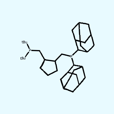 CC(C)(C)P(CC1CCCC1CP(C1C2CC3CC(C2)CC1C3)C1C2CC3CC(C2)CC1C3)C(C)(C)C